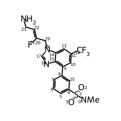 CNS(=O)(=O)c1cccc(-c2cc(C(F)(F)F)cc3c2ncn3CC(F)=CCN)c1